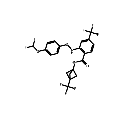 O=C(NC12CC(C(F)(F)F)(C1)C2)c1ccc(C(F)(F)F)cc1NSc1ccc(SC(F)F)cc1